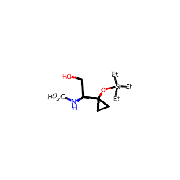 CC[Si](CC)(CC)OC1(C(CO)NC(=O)O)CC1